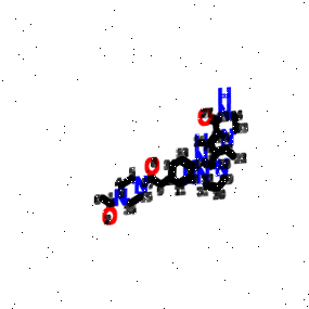 CC(=O)N1CCN(C(=O)Cc2ccc(NC3(c4c(C)c5n(c4C)CCNC5=O)N=CC=CN3)cc2)CC1